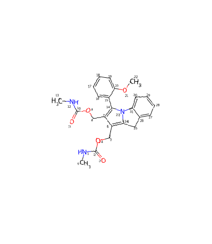 CNC(=O)OCc1c(COC(=O)NC)c(-c2ccccc2OC)n2c1Cc1ccccc1-2